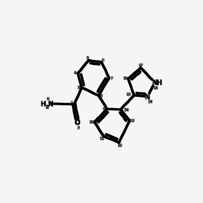 NC(=O)c1ccccc1-c1ccccc1-c1cc[nH]n1